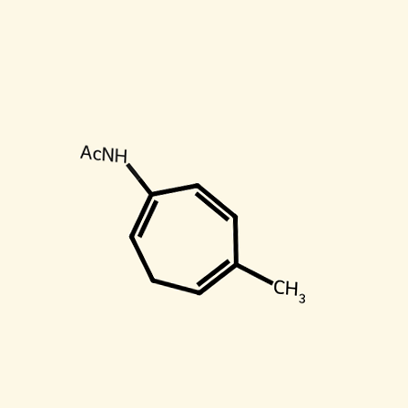 CC(=O)NC1=CCC=C(C)C=C1